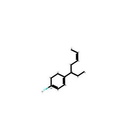 C/C=C\CC(CC)C1=CC=C(F)CC1